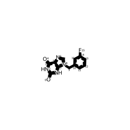 O=c1[nH]c(=O)c2n[c]n(Cc3cccc(F)c3)c2[nH]1